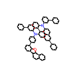 c1ccc(-c2cccc(N(c3ccc(-c4cccc5c4oc4c6ccccc6ccc54)cc3)c3ccccc3-c3ccccc3N(c3cccc(-c4ccccc4)c3)c3ccc4cc(-c5ccccc5)ccc4c3)c2)cc1